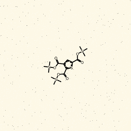 C[Si](C)(C)OC(=O)c1cc(C(=O)O[Si](C)(C)C)c(C(=O)O[Si](C)(C)C)s1